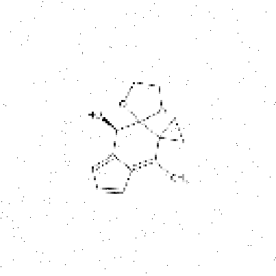 CC1=C2C=CC=C2[C@@H](O)C2(OCCO2)C12CC2